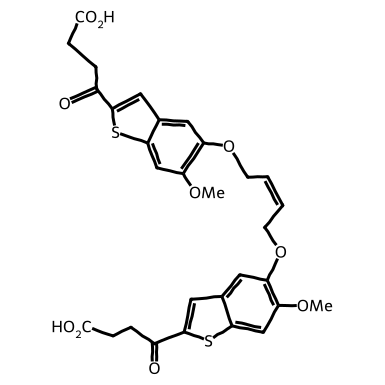 COc1cc2sc(C(=O)CCC(=O)O)cc2cc1OC/C=C\COc1cc2cc(C(=O)CCC(=O)O)sc2cc1OC